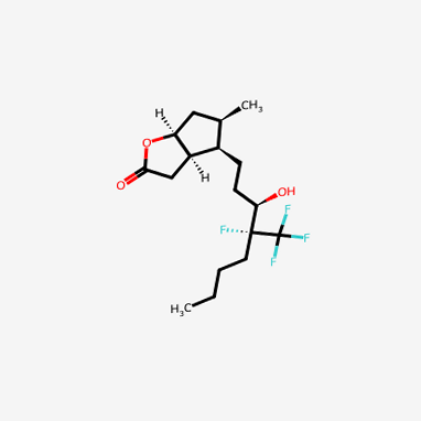 CCCC[C@@](F)([C@H](O)CC[C@H]1[C@H]2CC(=O)O[C@H]2C[C@H]1C)C(F)(F)F